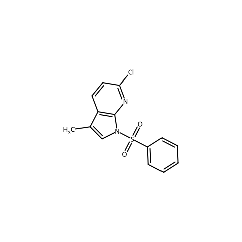 Cc1cn(S(=O)(=O)c2ccccc2)c2nc(Cl)ccc12